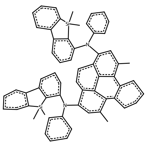 Cc1cc(N(c2ccccc2)c2cccc3c2[Si](C)(C)c2ccccc2-3)c2ccc3c(N(c4ccccc4)c4cccc5c4[Si](C)(C)c4ccccc4-5)cc(C)c4c5ccccc5c1c2c34